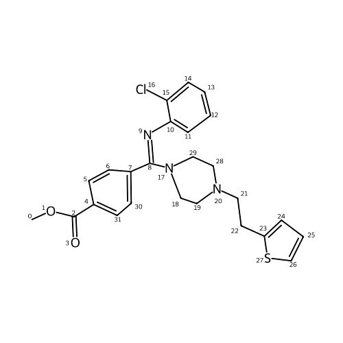 COC(=O)c1ccc(/C(=N/c2ccccc2Cl)N2CCN(CCc3cccs3)CC2)cc1